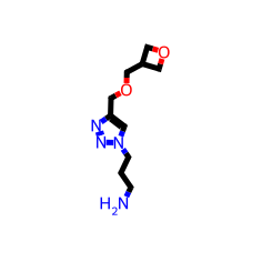 NCCCn1cc(COCC2COC2)nn1